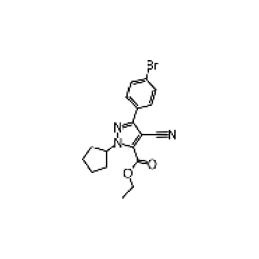 CCOC(=O)c1c(C#N)c(-c2ccc(Br)cc2)nn1C1CCCC1